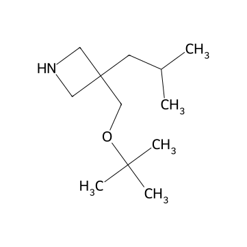 CC(C)CC1(COC(C)(C)C)CNC1